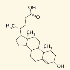 C[C@H](CCC(=O)O)C1CCC2C3CCC4=CC(O)CC[C@]4(C)C3CC[C@@]21C